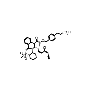 C#C/C=C(Cl)\C=C/C[C@H]1[C@H](C(=O)NOCc2ccc(CCC(=O)O)cc2)c2ccccc2C(=O)N1[C@H]1CCCC[C@@H]1NS(C)(=O)=O